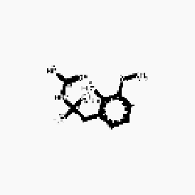 COc1cccc(CC(C)(C)NC(=O)O)c1C